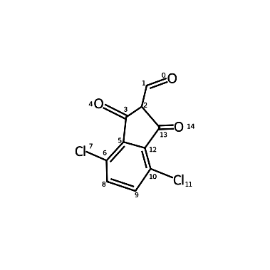 O=CC1C(=O)c2c(Cl)ccc(Cl)c2C1=O